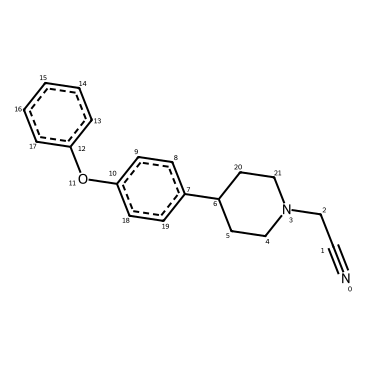 N#CCN1CCC(c2ccc(Oc3ccccc3)cc2)CC1